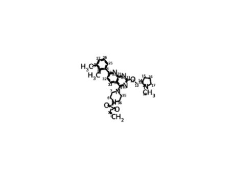 C=CS(=O)(=O)N1CCN(c2nc(OC[C@@H]3CCCN3C)nc3nc(-c4cccc(C)c4C)ccc23)CC1